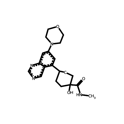 CNC(=O)C1(O)CCC(c2cc(N3CCOCC3)cc3ncncc23)CC1